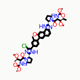 CC[C@@H](OC)[C@H](NC(=O)OC)C(=O)N1[C@@H](C)CC[C@H]1c1nc2ccc3cc4c(cc3c2[nH]1)OCc1cc(-c2[nH]c([C@@H]3CC[C@H](C)N3C(=O)[C@@H](NC(=O)OC)[C@@H](C)OC)nc2Cl)ccc1-4